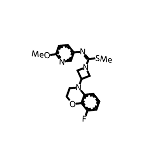 COc1ccc(/N=C(/SC)N2CC(N3CCOc4c(F)cccc43)C2)cn1